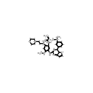 C=CC(=O)Nc1cc(NC2=NC(c3cccc(N(C)C)c3)C3SC=CC3=N2)c(OC)cc1N(C)CCN1CCOCC1